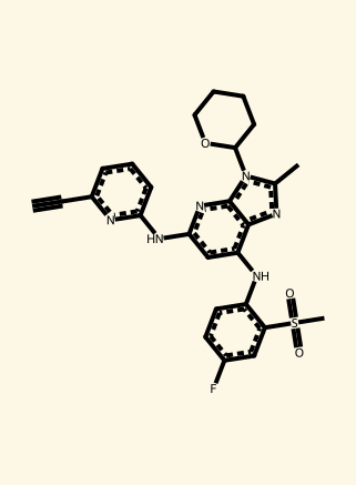 C#Cc1cccc(Nc2cc(Nc3ccc(F)cc3S(C)(=O)=O)c3nc(C)n(C4CCCCO4)c3n2)n1